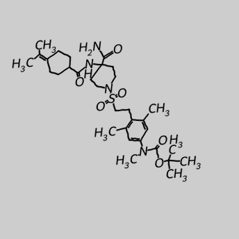 CC(C)=C1CCC(C(=O)NC2(C(N)=O)CCN(S(=O)(=O)CCc3c(C)cc(N(C)C(=O)OC(C)(C)C)cc3C)CC2)CC1